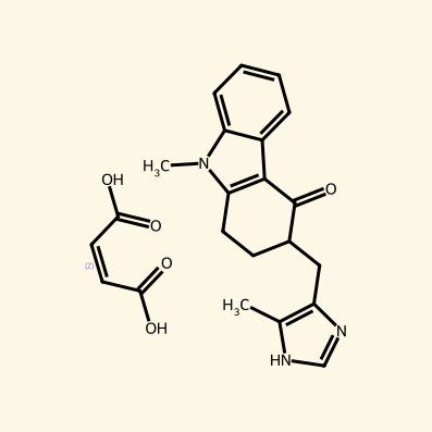 Cc1[nH]cnc1CC1CCc2c(c3ccccc3n2C)C1=O.O=C(O)/C=C\C(=O)O